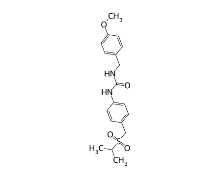 COc1ccc(CNC(=O)Nc2ccc(CS(=O)(=O)C(C)C)cc2)cc1